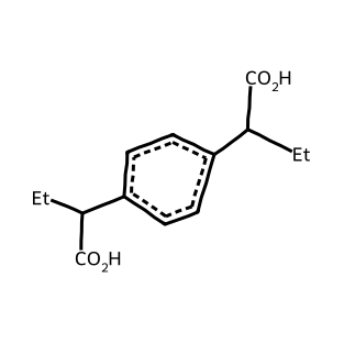 CCC(C(=O)O)c1ccc(C(CC)C(=O)O)cc1